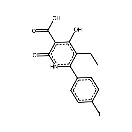 CCc1c(-c2ccc(I)cc2)[nH]c(=O)c(C(=O)O)c1O